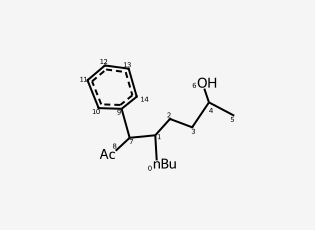 CCCCC(CCC(C)O)C(C(C)=O)c1ccccc1